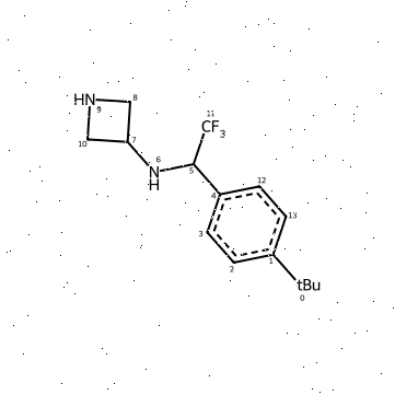 CC(C)(C)c1ccc(C(NC2CNC2)C(F)(F)F)cc1